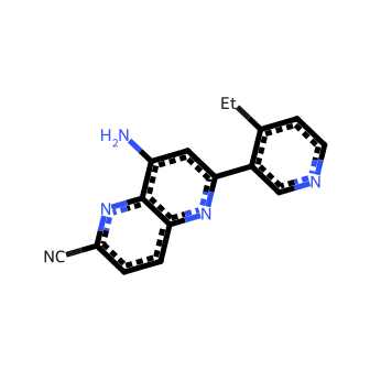 CCc1ccncc1-c1cc(N)c2nc(C#N)ccc2n1